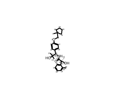 CC1(COc2ccc([C@@H](NC(=O)[C@@](C)(O)c3ccccc3F)C(C)(C)O)cc2)CCCC1